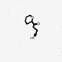 C#CCCC(=O)C1CCCCO1